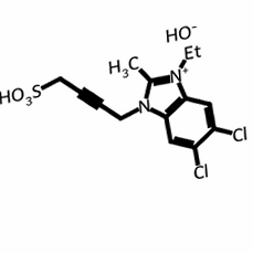 CC[n+]1c(C)n(CC#CCS(=O)(=O)O)c2cc(Cl)c(Cl)cc21.[OH-]